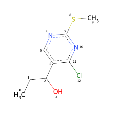 CCC(O)c1cnc(SC)nc1Cl